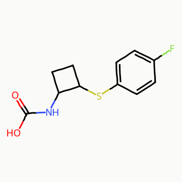 O=C(O)NC1CCC1Sc1ccc(F)cc1